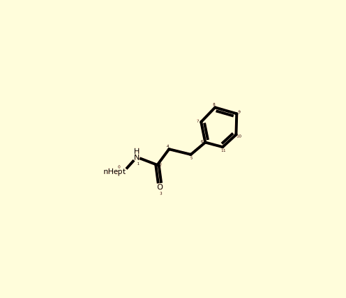 CCCCCCCNC(=O)CCc1ccccc1